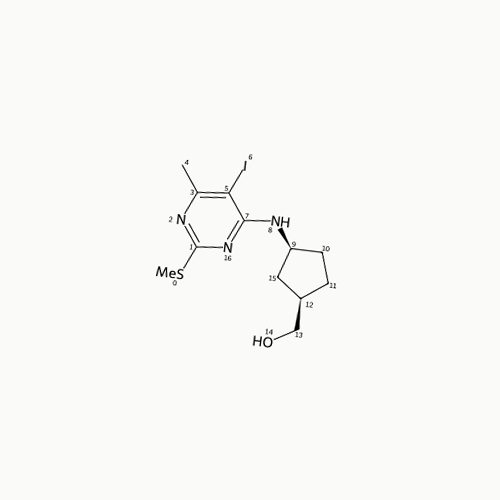 CSc1nc(C)c(I)c(N[C@H]2CC[C@@H](CO)C2)n1